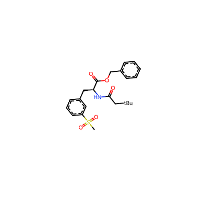 CC(C)(C)CC(=O)N[C@@H](Cc1cccc(S(C)(=O)=O)c1)C(=O)OCc1ccccc1